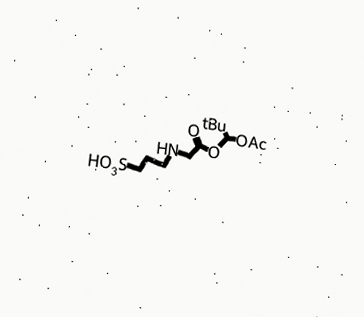 CC(=O)OC(OC(=O)CNCCCS(=O)(=O)O)C(C)(C)C